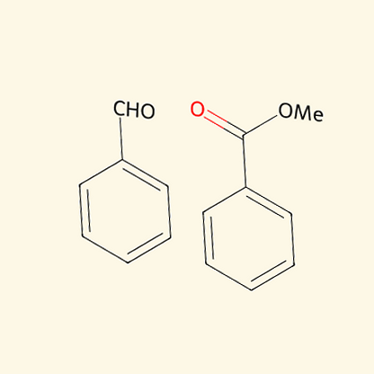 COC(=O)c1ccccc1.O=Cc1ccccc1